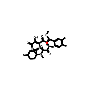 COCCN(C)C(=O)C(=O)N(C)C12CCC(F)(CC1)Cn1c2nc(C(=O)NCc2ccc(F)c(C)c2)c(O)c1=O